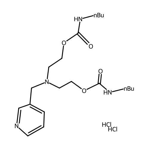 CCCCNC(=O)OCCN(CCOC(=O)NCCCC)Cc1cccnc1.Cl.Cl